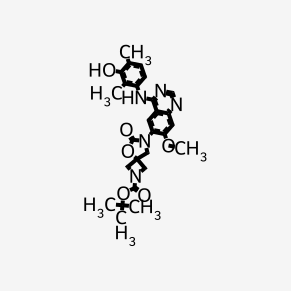 COc1cc2ncnc(Nc3ccc(C)c(O)c3C)c2cc1N1CC2(CN(C(=O)OC(C)(C)C)C2)OC1=O